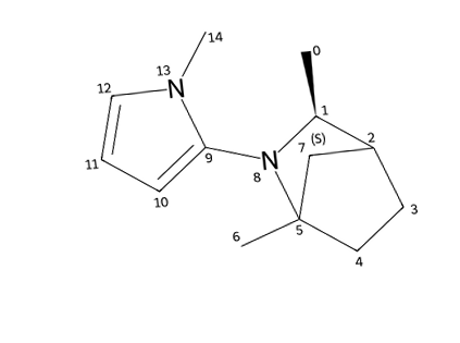 C[C@H]1C2CCC(C)(C2)N1c1cccn1C